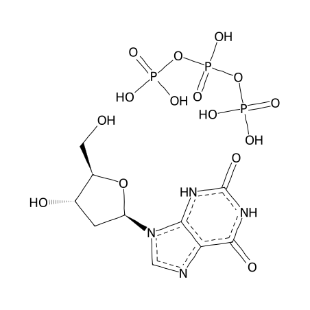 O=P(O)(O)OP(=O)(O)OP(=O)(O)O.O=c1[nH]c(=O)c2ncn([C@H]3C[C@H](O)[C@@H](CO)O3)c2[nH]1